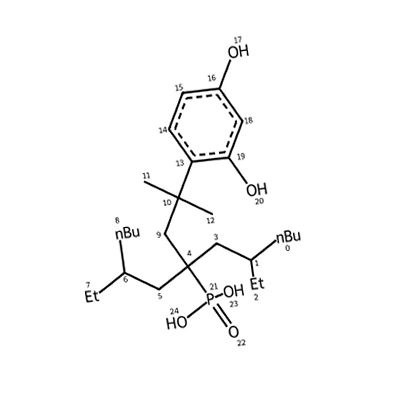 CCCCC(CC)CC(CC(CC)CCCC)(CC(C)(C)c1ccc(O)cc1O)P(=O)(O)O